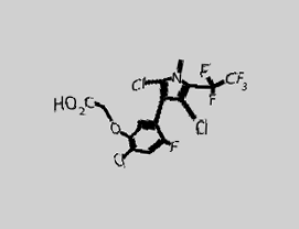 Cn1c(Cl)c(-c2cc(OCC(=O)O)c(Cl)cc2F)c(Cl)c1C(F)(F)C(F)(F)F